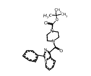 CC(C)(C)OC(=O)N1CCN(C(=O)c2nc(-c3ccccc3)n3ccccc23)CC1